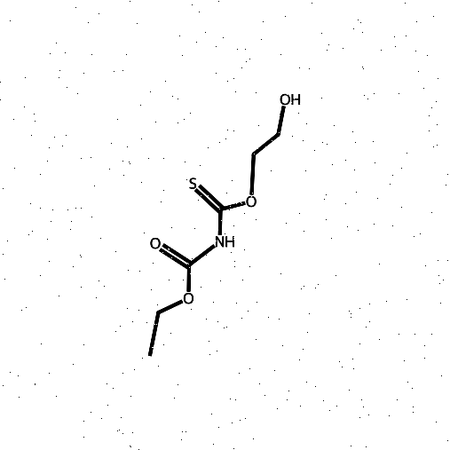 CCOC(=O)NC(=S)OCCO